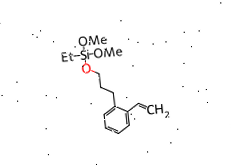 C=Cc1ccccc1CCCO[Si](CC)(OC)OC